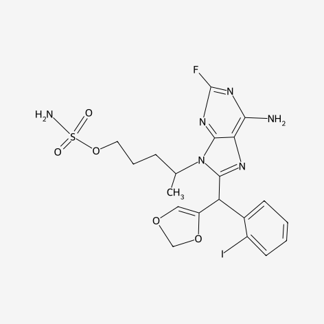 CC(CCCOS(N)(=O)=O)n1c(C(C2=COCO2)c2ccccc2I)nc2c(N)nc(F)nc21